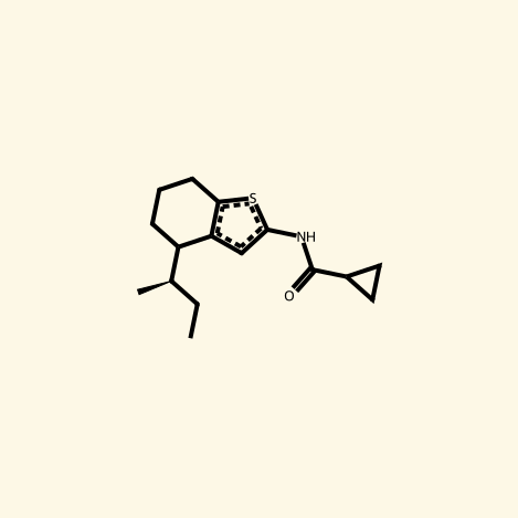 CC[C@@H](C)C1CCCc2sc(NC(=O)C3CC3)cc21